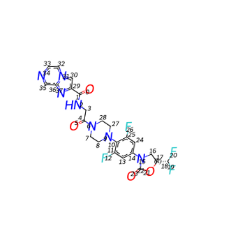 O=C(NCC(=O)N1CCN(c2c(F)cc(N3C[C@H](C(F)F)OC3=O)cc2F)CC1)c1cn2ccncc2n1